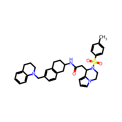 Cc1ccc(S(=O)(=O)N2CCn3cccc3C2CC(=O)NC2CCc3cc(CN4CCCc5ccccc54)ccc3C2)cc1